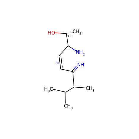 CC(C)C(C)C(=N)/C=C\C(N)[C@@H](C)O